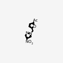 CC(=O)c1ccc(Cn2cc([N+](=O)[O-])cn2)o1